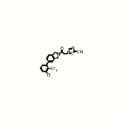 N#Cc1ncn(CC(=O)N2Cc3ccc(-c4cccc(Cl)c4C(F)(F)F)cc3C2)n1